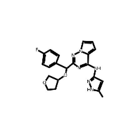 Cc1cc(Nc2nc(C(OC3CCOC3)c3ccc(F)cc3)nn3cccc23)n[nH]1